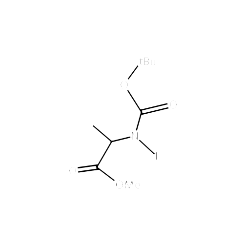 COC(=O)C(C)N(I)C(=O)OC(C)(C)C